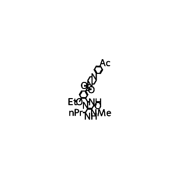 CCCC(=N)c1nc(-c2cc(S(=O)(=O)N3CCN(c4ccc(C(C)=O)cc4)CC3)ccc2OCC)[nH]c(=O)c1NC